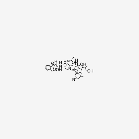 CCC(O)[C@@H](C)C(O)C(C)N(CCCNC(O)NS(=O)(=O)c1ccccc1C)C[C@@H](C)C[C@](C)(O)C(O[C@H]1CC(N(C)C)CC(C)O1)C(C)C(O)C(C)CO